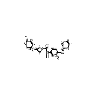 Cc1cc(NC(=O)C2CC(Oc3ccc(F)nc3)C2)ccc1Oc1ccccn1